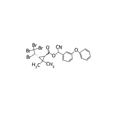 CC1(C)[C@H](C(=O)OC(C#N)c2cccc(Oc3ccccc3)c2)[C@H]1C(Br)C(Br)(Br)Br